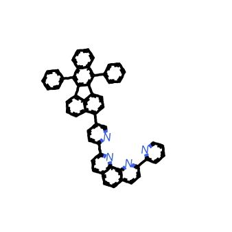 c1ccc(-c2c3c(c(-c4ccccc4)c4ccccc24)-c2ccc(-c4ccc(-c5ccc6ccc7ccc(-c8ccccn8)nc7c6n5)nc4)c4cccc-3c24)cc1